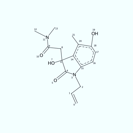 C=CCN1C(=O)C(O)(CC(=O)N(C)C)c2c1ccc(O)c2C